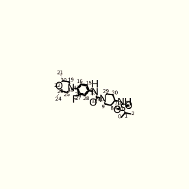 CC(C)S(=O)(=O)NC1CCN(C(=O)Nc2ccc(N3C[C@@H](C)O[C@@H](C)C3)c(F)c2)CC1